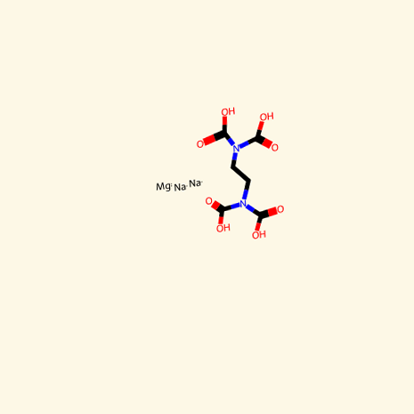 O=C(O)N(CCN(C(=O)O)C(=O)O)C(=O)O.[Mg].[Na].[Na]